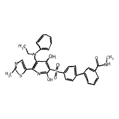 CCN(c1ccccc1)c1c(-c2cnc(C)s2)nc(O)c(S(=O)(=O)c2ccc(-c3cccc(C(=O)NC)c3)cc2)c1O